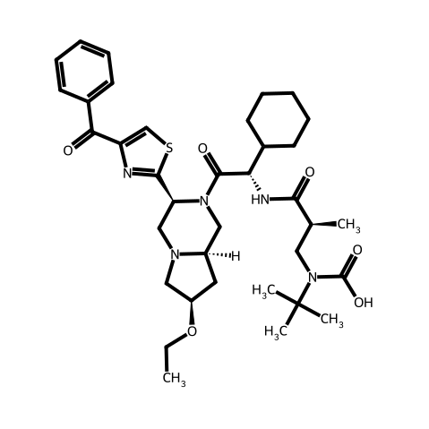 CCO[C@@H]1C[C@@H]2CN(C(=O)[C@@H](NC(=O)[C@@H](C)CN(C(=O)O)C(C)(C)C)C3CCCCC3)[C@H](c3nc(C(=O)c4ccccc4)cs3)CN2C1